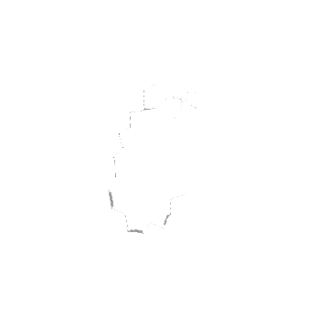 CC/C=C\C/C=C\C/C=C\CCCCCCC(CC)COP(=O)(O)O